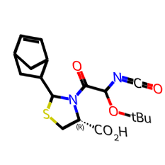 CC(C)(C)OC(N=C=O)C(=O)N1C(C2CC3C=CC2C3)SC[C@H]1C(=O)O